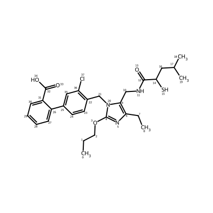 CCCOc1nc(CC)c(CNC(=O)C(S)CC(C)C)n1Cc1ccc(-c2ccccc2C(=O)O)cc1Cl